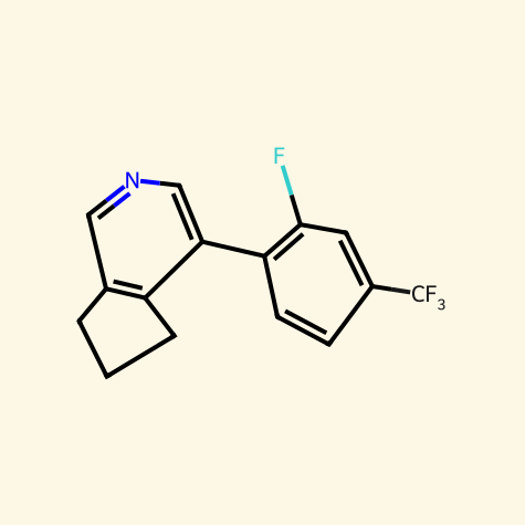 Fc1cc(C(F)(F)F)ccc1-c1cncc2c1CCC2